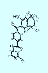 Cc1cc2c(cc1C(=O)c1ccc(C(=O)Nc3cccc(O)c3)cc1)C(C)(C)CCC2(C)C